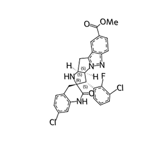 COC(=O)c1ccc2nn3c(c2c1)C[C@@H]1N[C@]2(Cc4ccc(Cl)cc4NC2=O)[C@@H](c2cccc(Cl)c2F)[C@@H]13